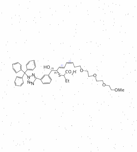 CCC(S[C@H](/C=C/C=C\CCOCCOCCOCCOC)[C@@H](O)c1cccc(-c2nnn(C(c3ccccc3)(c3ccccc3)c3ccccc3)n2)c1)C(=O)O